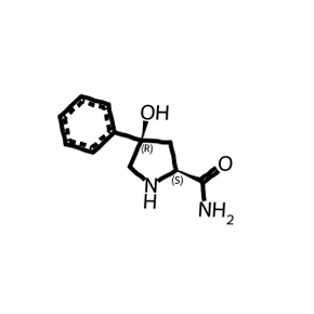 NC(=O)[C@@H]1C[C@@](O)(c2ccccc2)CN1